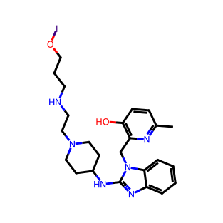 Cc1ccc(O)c(Cn2c(NC3CCN(CCNCCCOI)CC3)nc3ccccc32)n1